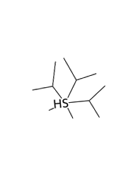 CC(C)[SH](C)(C)(C(C)C)C(C)C